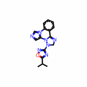 CC(C)c1nc(N2CN=C3c4ccccc4-n4cncc4N32)no1